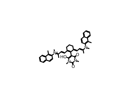 C/C(=C\C=C1/CCCC(/C=C/C(C)=[N+](\C)c2ccc3ccccc3c2C)=C1c1c(O)n(C)c(=O)n(C)c1=O)N(C)c1ccc2ccccc2c1C